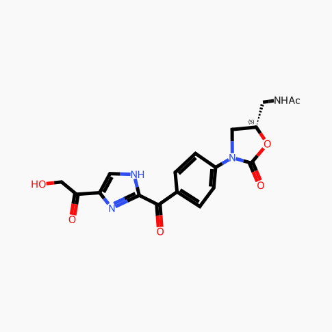 CC(=O)NC[C@H]1CN(c2ccc(C(=O)c3nc(C(=O)CO)c[nH]3)cc2)C(=O)O1